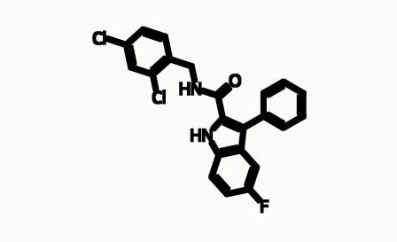 O=C(NCc1ccc(Cl)cc1Cl)c1[nH]c2ccc(F)cc2c1-c1ccccc1